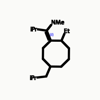 CCC1CCCC(CC(C)C)CC/C1=C(/NC)C(C)C